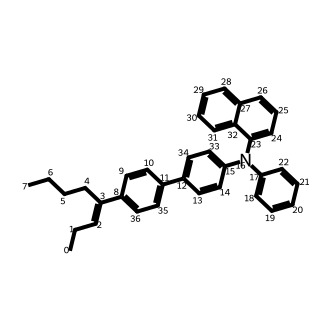 CC/C=C(\CCCC)c1ccc(-c2ccc(N(c3ccccc3)c3cccc4ccccc34)cc2)cc1